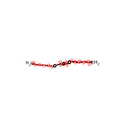 C=CC(=O)OCCOCCOCCOCCOC1CC=C(C(=O)Oc2ccc(OC(=O)C#CC3CCC(OCCOCCOCCOCCOC(=O)C=C)CC3)cc2)CC1